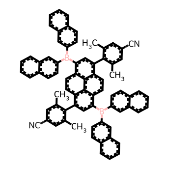 Cc1cc(C#N)cc(C)c1-c1cc(B(c2ccc3ccccc3c2)c2ccc3ccccc3c2)c2ccc3c(-c4c(C)cc(C#N)cc4C)cc(B(c4ccc5ccccc5c4)c4ccc5ccccc5c4)c4ccc1c2c43